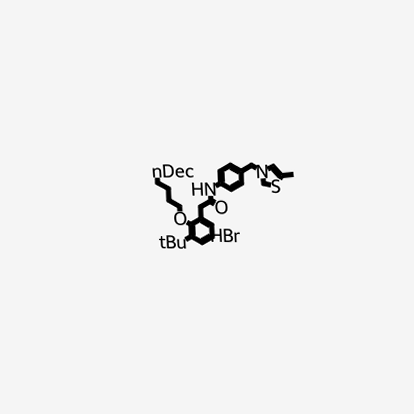 Br.CCCCCCCCCCCCCCOc1c(CC(=O)Nc2ccc(CN3C=C(C)SC3)cc2)cccc1C(C)(C)C